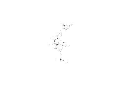 O=C(NCc1ccc(F)cc1F)c1cn2c(c(O)c1=O)C(=O)N(CCP(O)O)CC21CCOC1